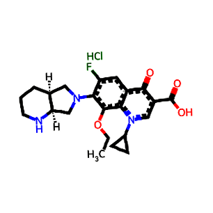 CCOc1c(N2C[C@@H]3CCCN[C@@H]3C2)c(F)cc2c(=O)c(C(=O)O)cn(C3CC3)c12.Cl